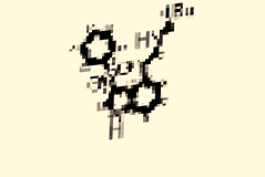 CC(C)(C)CNCCc1cccc2[nH]cc(S(=O)(=O)c3ccccc3)c12